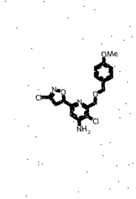 COc1ccc(COCc2nc(C3CC(Cl)=NO3)cc(N)c2Cl)cc1